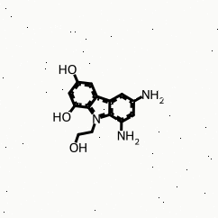 Nc1cc(N)c2c(c1)c1cc(O)cc(O)c1n2CCO